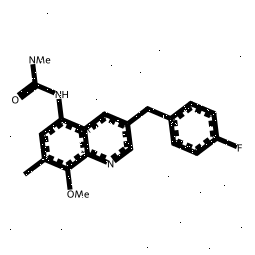 CNC(=O)Nc1cc(C)c(OC)c2ncc(Cc3ccc(F)cc3)cc12